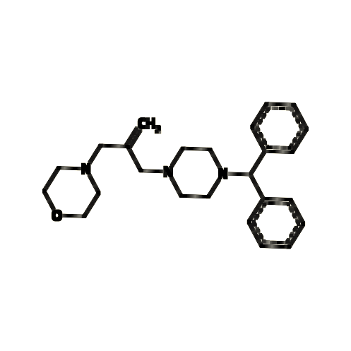 C=C(CN1CCOCC1)CN1CCN(C(c2ccccc2)c2ccccc2)CC1